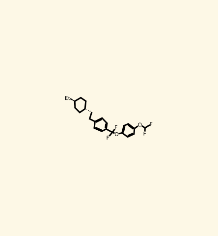 CC[C@H]1CC[C@H](CCc2ccc(C(F)(F)Oc3ccc(OC(F)F)cc3)cc2)CC1